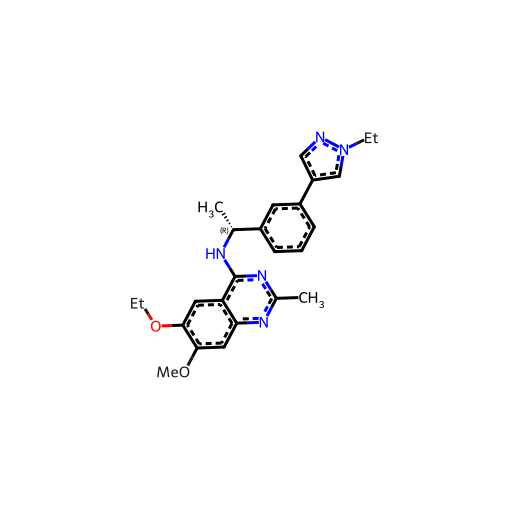 CCOc1cc2c(N[C@H](C)c3cccc(-c4cnn(CC)c4)c3)nc(C)nc2cc1OC